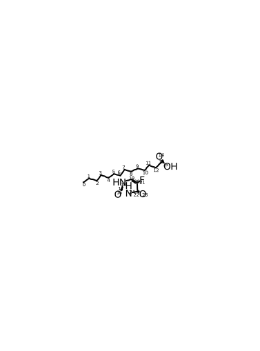 CCCCCCCCCCCCCC(=O)O.O=c1[nH]cc(F)c(=O)[nH]1